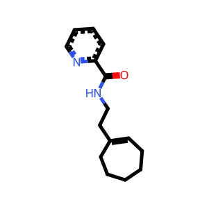 O=C(NCCC1=CCCCCC1)c1ccccn1